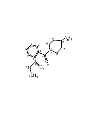 COC(=O)c1ccccc1C(=O)N1CCC(N)CC1